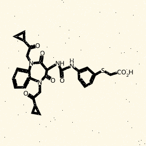 O=C(O)CSc1cccc(NC(=O)NC2C(=O)N(CC(=O)C3CC3)c3ccccc3N(CC(=O)C3CC3)C2=O)c1